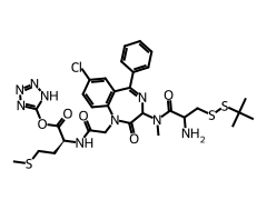 CSCC[C@H](NC(=O)CN1C(=O)C(N(C)C(=O)C(N)CSSC(C)(C)C)N=C(c2ccccc2)c2cc(Cl)ccc21)C(=O)Oc1nnn[nH]1